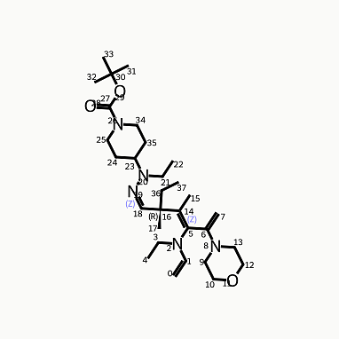 C=CN(CC)/C(C(=C)N1CCOCC1)=C(/C)[C@](C)(/C=N\N(CC)C1CCN(C(=O)OC(C)(C)C)CC1)CC